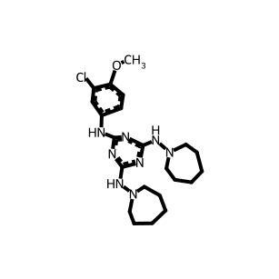 COc1ccc(Nc2nc(NN3CCCCCC3)nc(NN3CCCCCC3)n2)cc1Cl